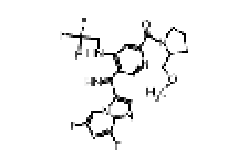 COCC1CCCN1C(=O)c1cc(NCC(F)(F)F)c(C(=N)c2cnc3c(F)cc(F)cn23)cn1